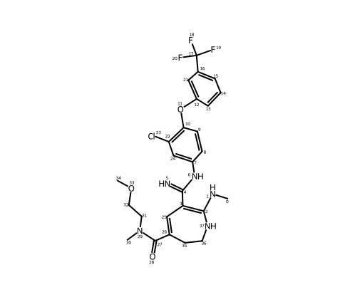 CNC1=C(C(=N)Nc2ccc(Oc3cccc(C(F)(F)F)c3)c(Cl)c2)C=C(C(=O)N(C)CCOC)CCN1